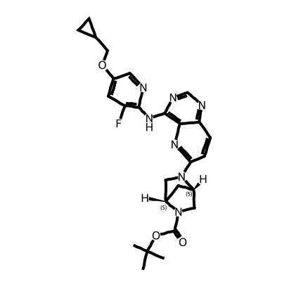 CC(C)(C)OC(=O)N1C[C@@H]2C[C@H]1CN2c1ccc2ncnc(Nc3ncc(OCC4CC4)cc3F)c2n1